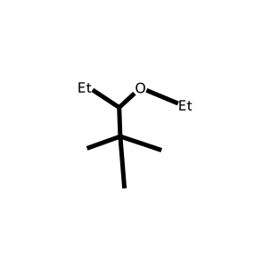 [CH2]CC(OCC)C(C)(C)C